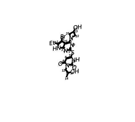 CCc1[nH]c2nc(Sc3cc(=O)n(CC(C)O)c(=O)[nH]3)nc(N3CC(O)C3)c2c1Br